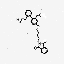 CCc1ccccc1-c1ccc(OCCCCCN2C(=O)c3ccccc3C2=O)cc1CC